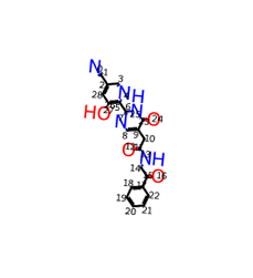 N#Cc1cnc(-c2ncc(CC(=O)NCC(=O)c3ccccc3)c(=O)[nH]2)c(O)c1